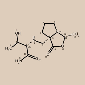 CC(O)[C@H](NC[C@]12CCCN1[C@H](C(Cl)(Cl)Cl)OC2=O)C(N)=O